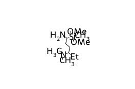 CCC(CCC(N)[Si](C)(OC)OC)N(C)C